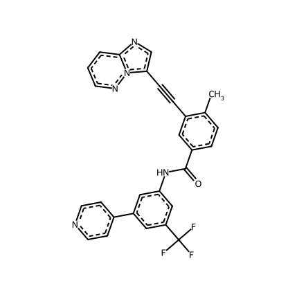 Cc1ccc(C(=O)Nc2cc(-c3ccncc3)cc(C(F)(F)F)c2)cc1C#Cc1cnc2cccnn12